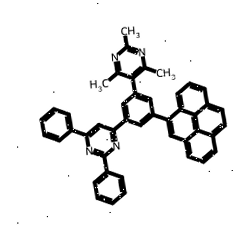 Cc1nc(C)c(-c2cc(-c3cc(-c4ccccc4)nc(-c4ccccc4)n3)cc(-c3cc4cccc5ccc6cccc3c6c54)c2)c(C)n1